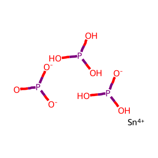 OP(O)O.[O-]P(O)O.[O-]P([O-])[O-].[Sn+4]